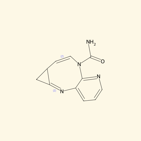 NC(=O)N1/C=C\C2C/C2=N/c2cccnc21